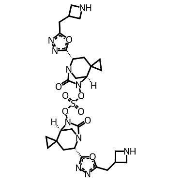 O=C1N2C[C@H](N1OS(=O)(=O)ON1C(=O)N3C[C@H]1C1(CC1)C[C@H]3c1nnc(CC3CNC3)o1)C1(CC1)C[C@H]2c1nnc(CC2CNC2)o1